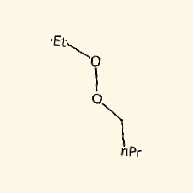 C[CH]OOCCCC